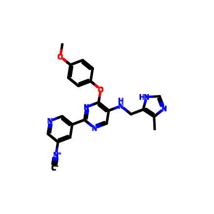 [C-]#[N+]c1cncc(-c2ncc(NCc3[nH]cnc3C)c(Oc3ccc(OC)cc3)n2)c1